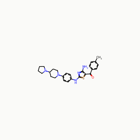 Cc1ccc(C(=O)c2sc(Nc3ccc(N4CCC(N5CCCC5)CC4)cc3)nc2N)cc1